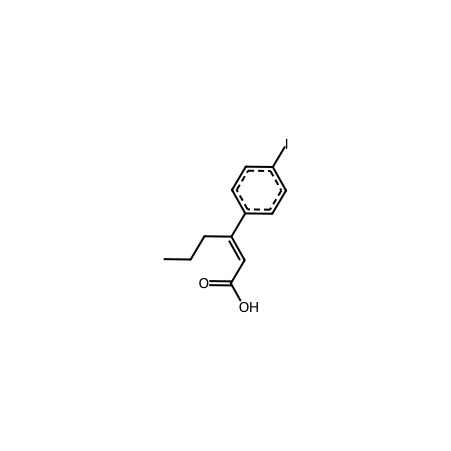 CCCC(=CC(=O)O)c1ccc(I)cc1